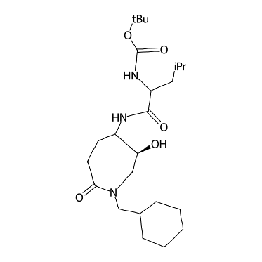 CC(C)CC(NC(=O)OC(C)(C)C)C(=O)NC1CCC(=O)N(CC2CCCCC2)C[C@@H]1O